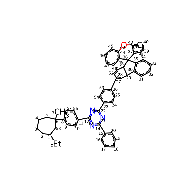 CC[C@H]1CCCCC(C)(c2ccc(-c3nc(-c4ccccc4)nc(-c4ccc(C5=CC6c7ccccc7C7(c8ccccc8Oc8ccccc87)C6C=C5)cc4)n3)cc2)C1